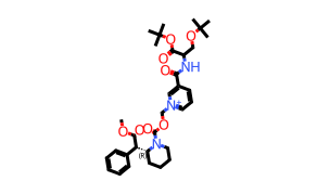 COC(=O)C(c1ccccc1)[C@H]1CCCCN1C(=O)OC[n+]1cccc(C(=O)NC(COC(C)(C)C)C(=O)OC(C)(C)C)c1